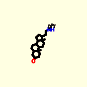 CCCNCCC1CCC2C3CCC4CC(=O)CCC4(C)C3CCC12C